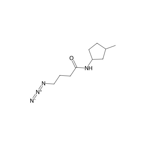 CC1CCC(NC(=O)CCCN=[N+]=[N-])C1